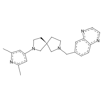 Cc1cc(N2CC[C@]3(CCN(Cc4ccc5nccnc5c4)C3)C2)cc(C)n1